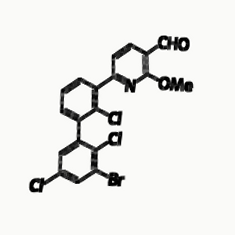 COc1nc(-c2cccc(-c3cc(Cl)cc(Br)c3Cl)c2Cl)ccc1C=O